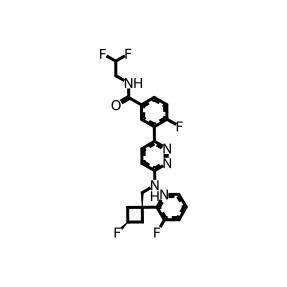 O=C(NCC(F)F)c1ccc(F)c(-c2ccc(NC[C@]3(c4ncccc4F)C[C@H](F)C3)nn2)c1